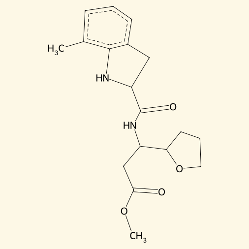 COC(=O)CC(NC(=O)C1Cc2cccc(C)c2N1)C1CCCO1